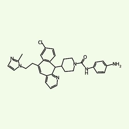 Cc1nccn1CCC1=Cc2cccnc2C(C2CCN(C(=O)Nc3ccc(N)cc3)CC2)c2ccc(Cl)cc21